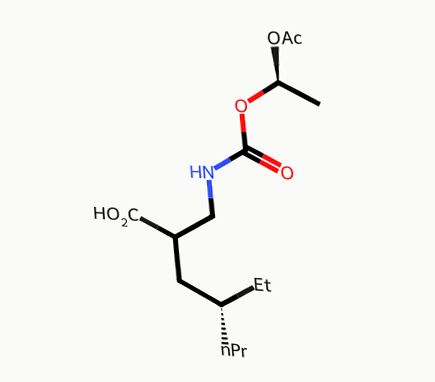 CCC[C@@H](CC)CC(CNC(=O)O[C@H](C)OC(C)=O)C(=O)O